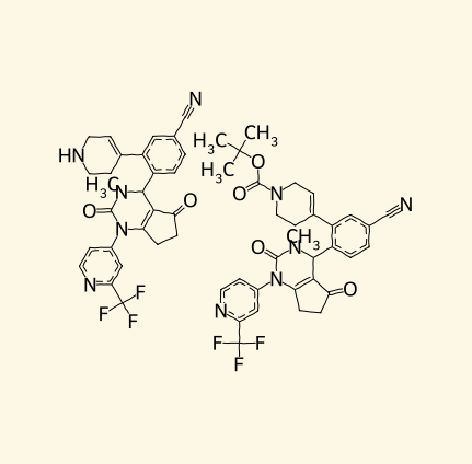 CN1C(=O)N(c2ccnc(C(F)(F)F)c2)C2=C(C(=O)CC2)C1c1ccc(C#N)cc1C1=CCN(C(=O)OC(C)(C)C)CC1.CN1C(=O)N(c2ccnc(C(F)(F)F)c2)C2=C(C(=O)CC2)C1c1ccc(C#N)cc1C1=CCNCC1